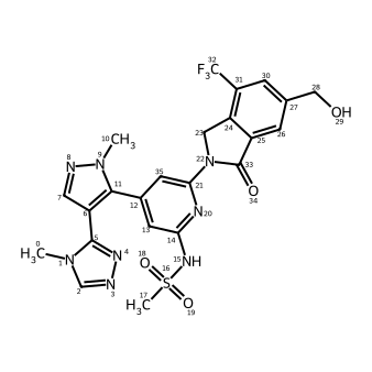 Cn1cnnc1-c1cnn(C)c1-c1cc(NS(C)(=O)=O)nc(N2Cc3c(cc(CO)cc3C(F)(F)F)C2=O)c1